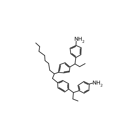 CCCCCCCC(Cc1ccc(C(CC)c2ccc(N)cc2)cc1)c1ccc(C(CC)c2ccc(N)cc2)cc1